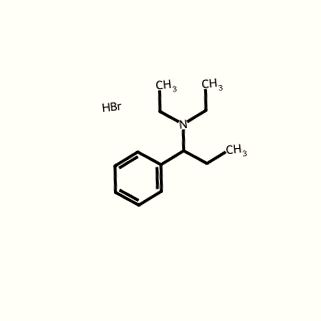 Br.CCC(c1ccccc1)N(CC)CC